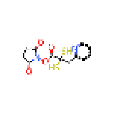 O=C1CCC(=O)N1OC(=O)C(S)(S)Cc1ccccn1